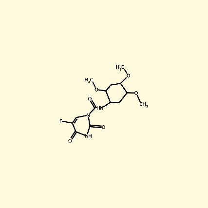 COC1CC(OC)C(OC)CC1NC(=O)n1cc(F)c(=O)[nH]c1=O